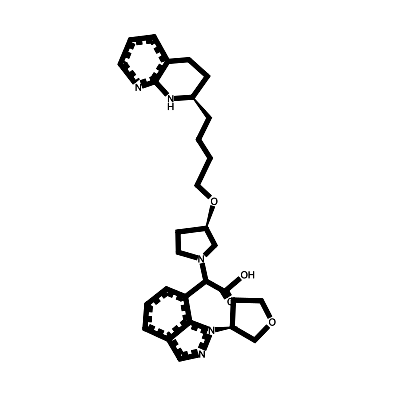 O=C(O)C(c1cccc2cnn([C@H]3CCOC3)c12)N1CC[C@@H](OCCCC[C@@H]2CCc3cccnc3N2)C1